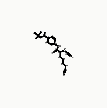 CC(CC(C)(C)C)c1ccc(OC(=O)C(CCCCC#N)OC#N)cc1